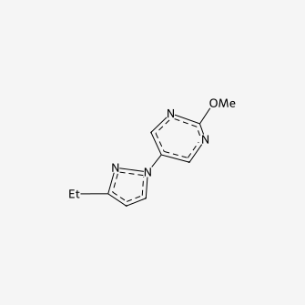 CCc1ccn(-c2cnc(OC)nc2)n1